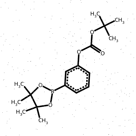 CC(C)(C)OC(=O)Oc1cccc(B2OC(C)(C)C(C)(C)O2)c1